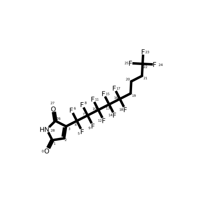 O=C1C=C(C(F)(F)C(F)(F)C(F)(F)C(F)(F)C(F)(F)CCCC(F)(F)F)C(=O)N1